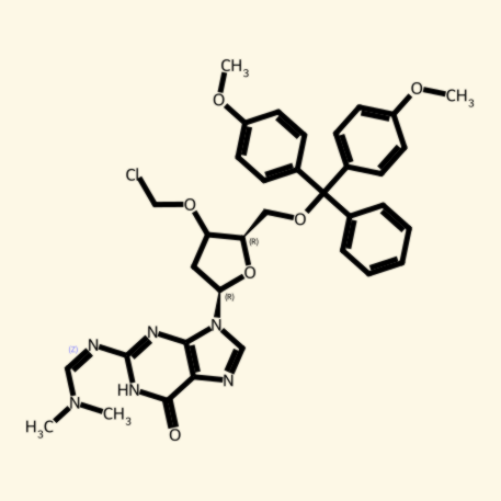 COc1ccc(C(OC[C@H]2O[C@@H](n3cnc4c(=O)[nH]c(/N=C\N(C)C)nc43)CC2OCCl)(c2ccccc2)c2ccc(OC)cc2)cc1